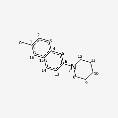 Cc1ccc2cc(N3CCCCC3)ccc2c1